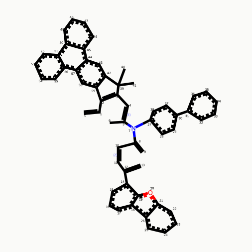 C=CC1=C(/C=C(\C)N(C(=C)/C=C\C(=C)c2cccc3c2oc2ccccc23)c2ccc(-c3ccccc3)cc2)C(C)(C)c2cc3c4ccccc4c4ccccc4c3cc21